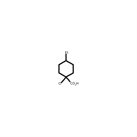 CCC1CCC(Cl)(C(=O)O)CC1